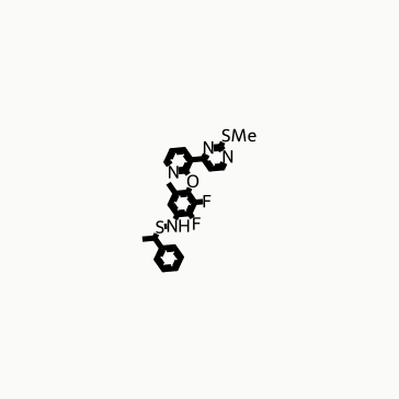 CSc1nccc(-c2cccnc2Oc2c(C)cc(NSC(C)c3ccccc3)c(F)c2F)n1